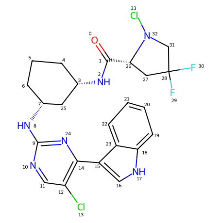 O=C(N[C@H]1CCC[C@@H](Nc2ncc(Cl)c(-c3c[nH]c4ccccc34)n2)C1)[C@H]1CC(F)(F)CN1Cl